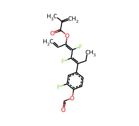 C=C/C(OC(=O)C(=C)C)=C(F)\C(F)=C(/CC)c1ccc(OC=O)c(F)c1